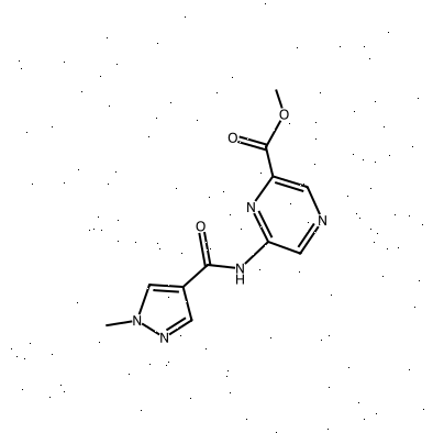 COC(=O)c1cncc(NC(=O)c2cnn(C)c2)n1